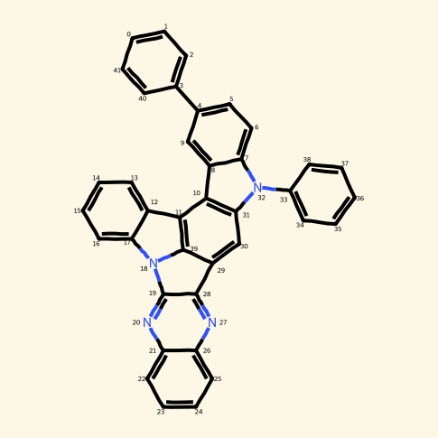 c1ccc(-c2ccc3c(c2)c2c4c5ccccc5n5c6nc7ccccc7nc6c(cc2n3-c2ccccc2)c45)cc1